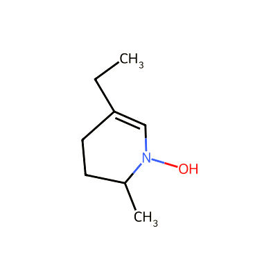 CCC1=CN(O)C(C)CC1